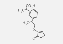 CC(CSC1=CCCC1=O)c1cccc(C(C)C(=O)O)c1